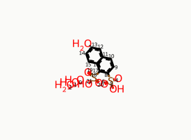 O.O.O.O.O=S(=O)(O)c1ccc2ccccc2c1S(=O)(=O)O